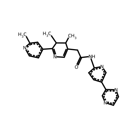 Cc1cc(C2=NC=C(CC(=O)Nc3ccc(-c4cnccn4)cn3)C(C)C2C)ccn1